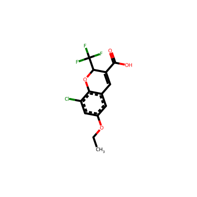 CCOc1cc(Cl)c2c(c1)C=C(C(=O)O)C(C(F)(F)F)O2